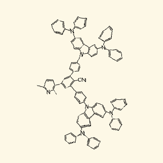 Cc1ccc(-c2cc(-c3ccc(-n4c5ccc(N(c6ccccc6)c6ccccc6)cc5c5cc(N(c6ccccc6)c6ccccc6)ccc54)cc3)c(C#N)c(-c3ccc(-n4c5ccc(N(c6ccccc6)c6ccccc6)cc5c5cc(N(c6ccccc6)c6ccccc6)ccc54)cc3)c2)c(C)n1